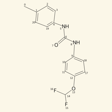 Cc1ccc(NC(=O)Nc2ccc(OC(F)F)cc2)cc1